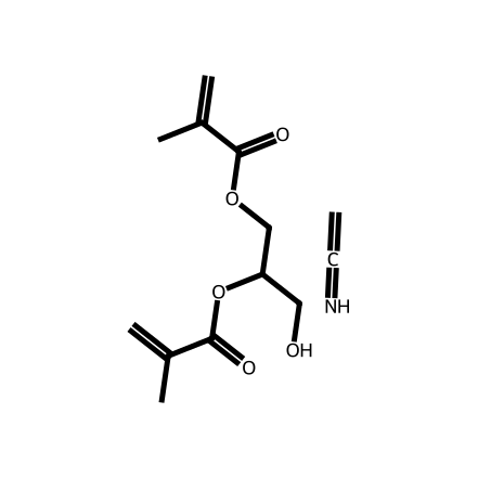 C=C(C)C(=O)OCC(CO)OC(=O)C(=C)C.C=C=N